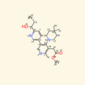 Cc1ncc(-c2ccc(C(O)CC(C)C)nc2)c(N2CCC(C)(C)CC2)c1CC(=O)OC(C)C